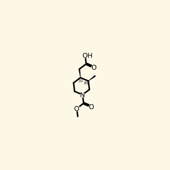 COC(=O)N1CC[C@@H](CC(=O)O)[C@@H](C)C1